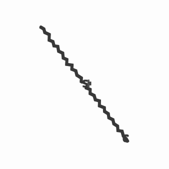 CCCCCCCCCCCCCCCCCCC[Si]CCCCCCCCCCCCCCCCCCC